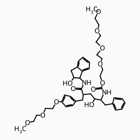 COCCOCCOCCOCCOC(=O)NC(Cc1ccccc1)C(O)CC(Cc1ccc(OCCOCCOC)cc1)C(=O)NC1c2ccccc2CC1O